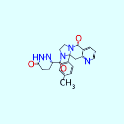 Cc1ccc(C23Cc4ncccc4C(=O)N2CCN3C(=O)C2=NNC(=O)CC2)cc1